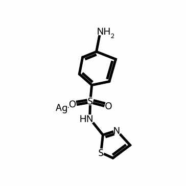 Nc1ccc(S(=O)(=O)Nc2nccs2)cc1.[Ag]